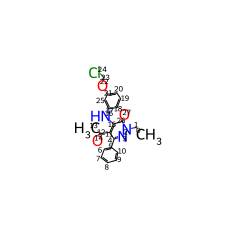 CCn1nc(-c2ccccc2)c(C(C)=O)c(Nc2cccc(OCCl)c2)c1=O